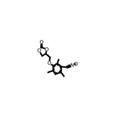 Cc1cc(C)c(OCC2COC(=O)O2)c(C)c1C#[N+][O-]